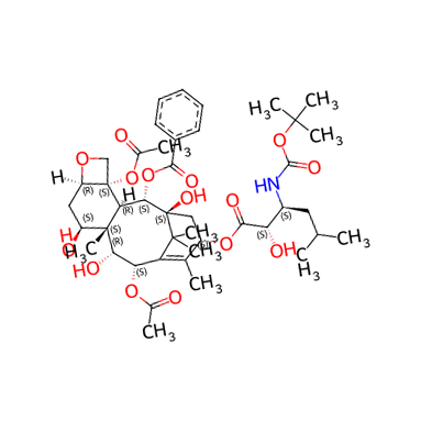 CC(=O)O[C@H]1C2=C(C)[C@@H](OC(=O)[C@@H](O)[C@H](CC(C)C)NC(=O)OC(C)(C)C)C[C@@](O)([C@@H](OC(=O)c3ccccc3)[C@@H]3[C@]4(OC(C)=O)CO[C@@H]4C[C@H](O)[C@@]3(C)[C@H]1O)C2(C)C